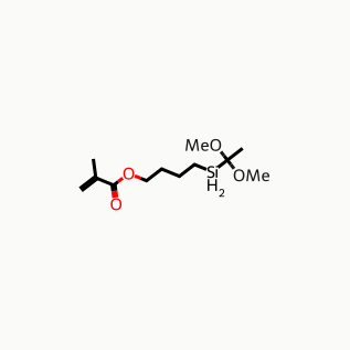 C=C(C)C(=O)OCCCC[SiH2]C(C)(OC)OC